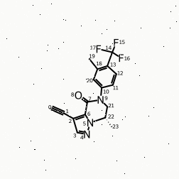 C#Cc1cnn2c1C(=O)N(c1ccc(C(F)(F)F)c(C)c1)C[C@@H]2C